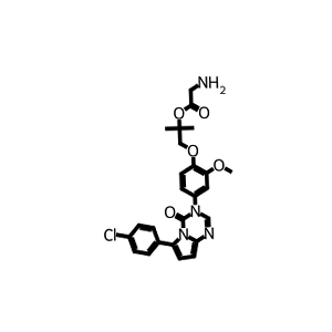 COc1cc(-n2cnc3ccc(-c4ccc(Cl)cc4)n3c2=O)ccc1OCC(C)(C)OC(=O)CN